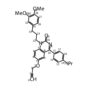 C#CCOc1ccc2c(c1)c(-c1ccc(C(C)C)cc1)nc(=O)n2CCCc1ccc(OC)c(OC)c1